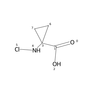 O=C(O)C1(NCl)CC1